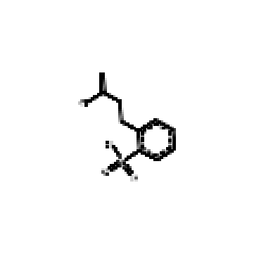 C=C(Cl)CCc1ccccc1S(=O)(=O)Cl